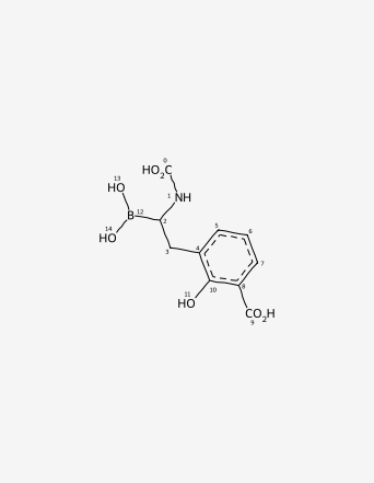 O=C(O)NC(Cc1cccc(C(=O)O)c1O)B(O)O